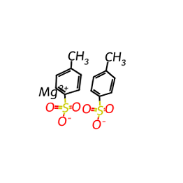 Cc1ccc(S(=O)(=O)[O-])cc1.Cc1ccc(S(=O)(=O)[O-])cc1.[Mg+2]